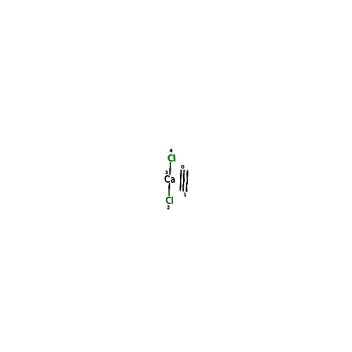 C#C.[Cl][Ca][Cl]